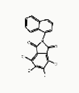 O=C1c2c(Cl)c(Cl)c(Cl)c(Cl)c2C(=O)N1c1cccc2ccccc12